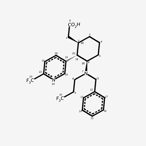 O=C(O)C[C@H]1CCC[C@@H](N(CCC(F)(F)F)Cc2ccccc2)[C@@H]1c1ccc(C(F)(F)F)nc1